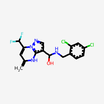 C=C1C=C(C(F)F)n2ncc(C(O)NCc3ccc(Cl)cc3Cl)c2N1